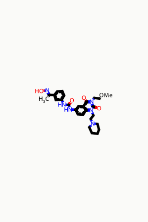 COCCn1c(=O)c2cc(NC(=O)Nc3cccc(/C(C)=N/O)c3)ccc2n(CCN2CCCCC2)c1=O